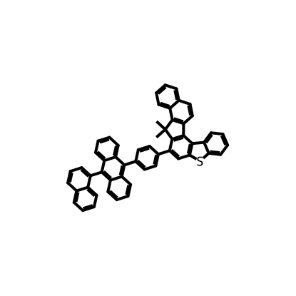 CC1(C)c2c(-c3ccc(-c4c5ccccc5c(-c5cccc6ccccc56)c5ccccc45)cc3)cc3sc4ccccc4c3c2-c2ccc3ccccc3c21